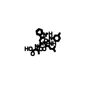 Cc1oc([C@@H](Cc2cn(C)c3ccccc23)NC(=O)C(CC(C)C)NC(=O)NC2CCCC(C)C2)nc1C(=O)O